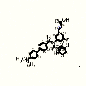 [2H][C@H](c1ccc(-c2ccc(N(C)C)cc2)cc1)N(C(=O)[C@H]1C[C@@H]2CC[C@H]1C2)c1cc(F)cc(/C=C/C(=O)O)c1